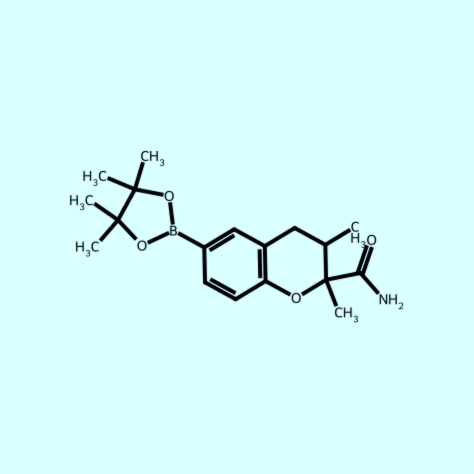 CC1Cc2cc(B3OC(C)(C)C(C)(C)O3)ccc2OC1(C)C(N)=O